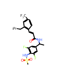 CC(C)Cc1cc(C(F)(F)F)ccc1C=CC(=O)NC(C)c1cc(F)c(NS(C)(=O)=O)c(F)c1